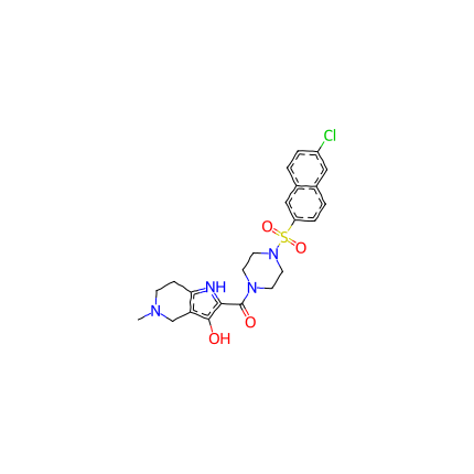 CN1CCc2[nH]c(C(=O)N3CCN(S(=O)(=O)c4ccc5cc(Cl)ccc5c4)CC3)c(O)c2C1